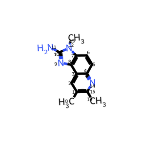 Cc1cc2c(ccc3c2nc(N)n3C)nc1C